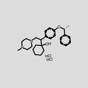 C[C@@H](Oc1ccc(C(CN2CCN(C)CC2)C2(O)CCCCC2)cc1)c1ccccc1.Cl.Cl